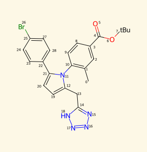 Cc1cc(C(=O)OC(C)(C)C)ccc1-n1c(Cc2nnn[nH]2)ccc1-c1ccc(Br)cc1